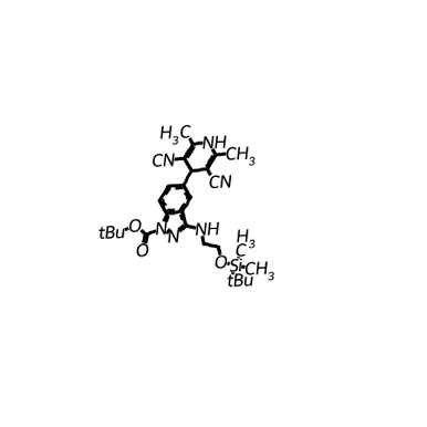 [C-]#[N+]C1=C(C)NC(C)=C(C#N)C1c1ccc2c(c1)c(NCCO[Si](C)(C)C(C)(C)C)nn2C(=O)OC(C)(C)C